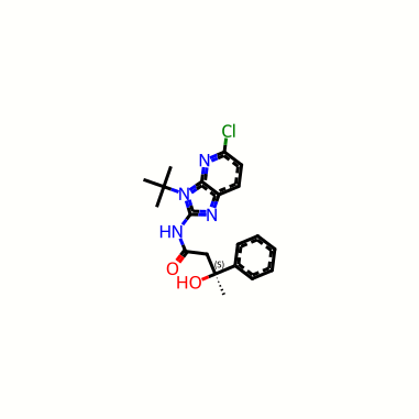 CC(C)(C)n1c(NC(=O)C[C@](C)(O)c2ccccc2)nc2ccc(Cl)nc21